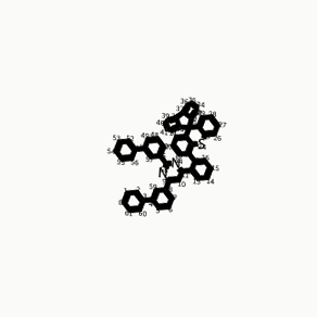 c1ccc(-c2cccc(-c3cc(-c4ccccc4-c4cccc5c4Sc4ccccc4C54c5ccccc5-c5ccccc54)nc(-c4cccc(-c5ccccc5)c4)n3)c2)cc1